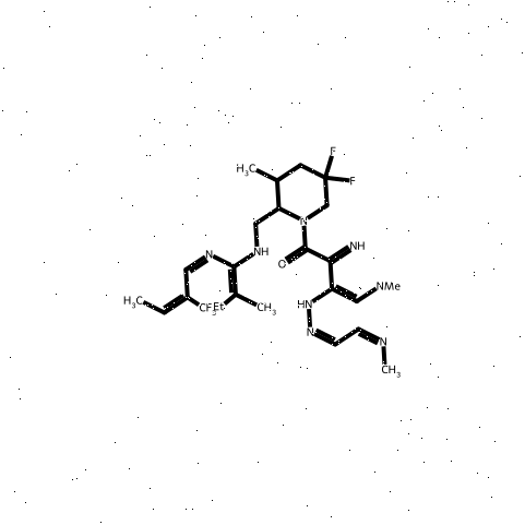 C\C=C(/C=N\C(NCC1C(C)CC(F)(F)CN1C(=O)C(=N)/C(=C\NC)N/N=C\C=N/C)=C(\C)CC)C(F)(F)F